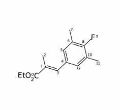 CCOC(=O)C(C)=Cc1cc(C)c(F)c(C)c1